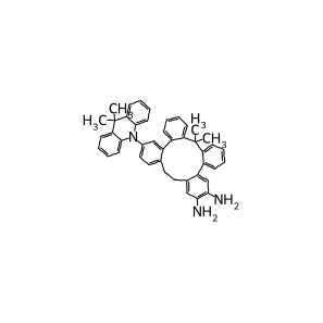 CC1(C)c2ccccc2-c2cc(N3c4ccccc4C(C)(C)c4ccccc43)ccc2CCc2cc(N)c(N)cc2-c2ccccc21